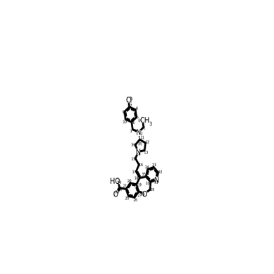 CCN(Cc1ccc(Cl)cc1)[C@@H]1CCN(CCC=C2c3cc(C(=O)O)ccc3OCc3ncccc32)C1